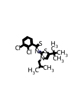 CC(C)Cn1cc(C(C)(C)C)s/c1=N\C(=S)c1cccc(Cl)c1Cl